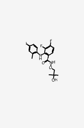 Cc1cc(I)ccc1Nc1c(C(=O)NOCC(C)(C)O)ccc(F)c1F